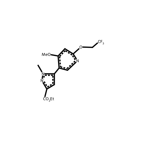 CCOC(=O)c1cc(-c2cnc(OCC(F)(F)F)cc2OC)n(C)n1